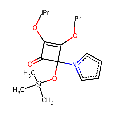 CC(C)OC1=C(OC(C)C)C(O[Si](C)(C)C)(n2cccc2)C1=O